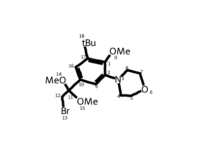 COc1c(N2CCOCC2)cc(C(CBr)(OC)OC)cc1C(C)(C)C